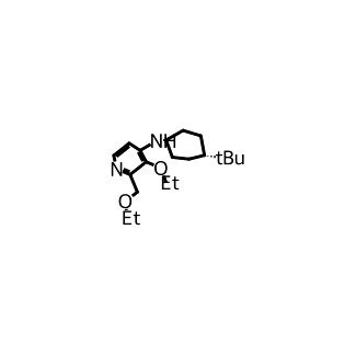 CCOCc1nccc(N[C@H]2CC[C@@H](C(C)(C)C)CC2)c1OCC